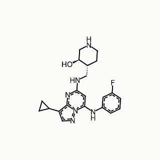 O[C@H]1CNCC[C@@H]1CNc1cc(Nc2cccc(F)c2)n2ncc(C3CC3)c2n1